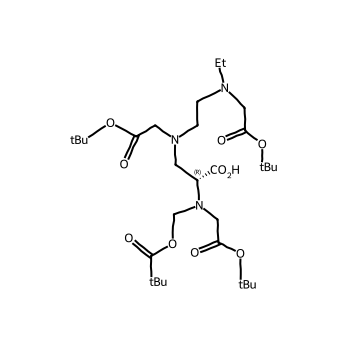 CCN(CCN(CC(=O)OC(C)(C)C)C[C@H](C(=O)O)N(COC(=O)C(C)(C)C)CC(=O)OC(C)(C)C)CC(=O)OC(C)(C)C